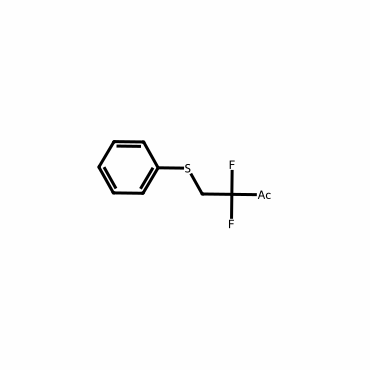 CC(=O)C(F)(F)CSc1ccccc1